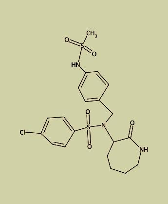 CS(=O)(=O)Nc1ccc(CN(C2CCCCNC2=O)S(=O)(=O)c2ccc(Cl)cc2)cc1